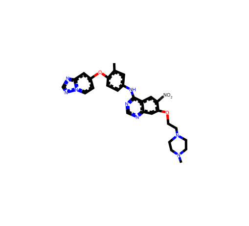 Cc1cc(Nc2ncnc3cc(OCCN4CCN(C)CC4)c([N+](=O)[O-])cc23)ccc1Oc1ccn2ncnc2c1